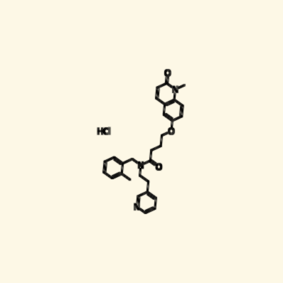 Cc1ccccc1CN(CCc1cccnc1)C(=O)CCCOc1ccc2c(ccc(=O)n2C)c1.Cl